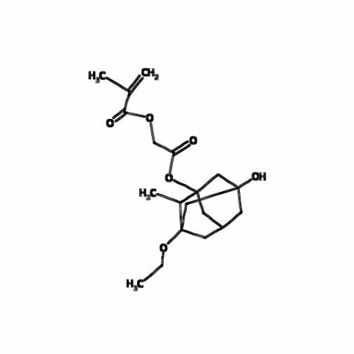 C=C(C)C(=O)OCC(=O)OC12CC3CC(O)(CC(OCC)(C3)C1C)C2